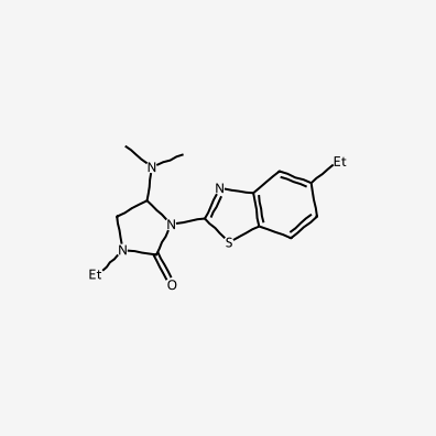 CCc1ccc2sc(N3C(=O)N(CC)CC3N(C)C)nc2c1